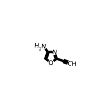 C#Cc1nc(N)co1